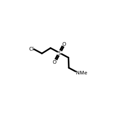 CNCCS(=O)(=O)CCCl